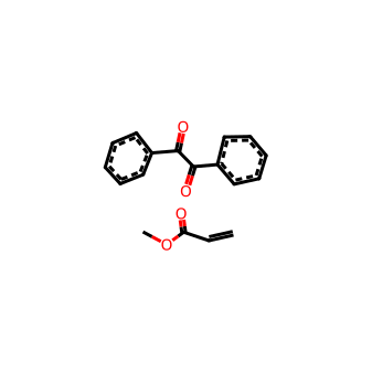 C=CC(=O)OC.O=C(C(=O)c1ccccc1)c1ccccc1